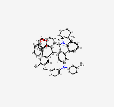 CCCCC1=CC(N(c2cccc(CCCC)c2)c2cc3c4c(c2)C(c2ccc(CCCC)cc2C2=CC=C=C=C2)c2c(ccc5oc6ccccc6c25)B4N2c4c-3cccc4C3(C)CCCCC23C)=CCC1